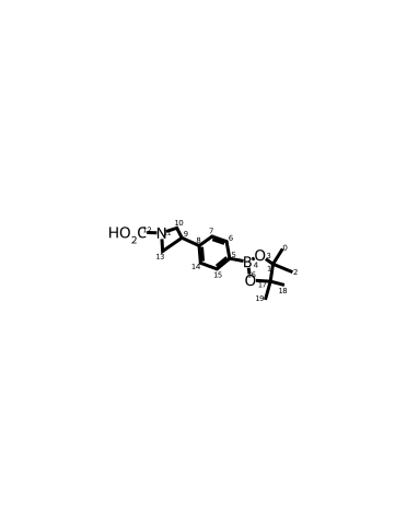 CC1(C)OB(c2ccc(C3CN(C(=O)O)C3)cc2)OC1(C)C